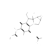 COC(=O)N(C)C1=C(C)C(=O)C2=C(C1=O)C(CO)C1(OC)C3NC3CN21.NC(=O)O